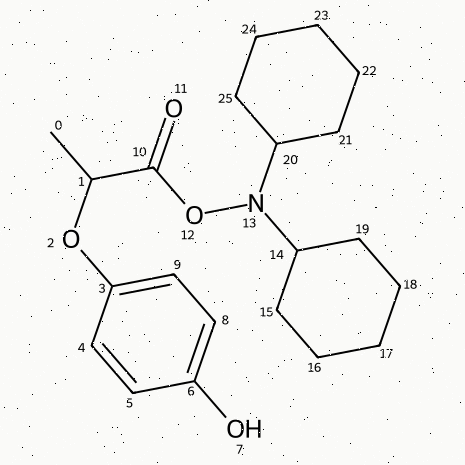 CC(Oc1ccc(O)cc1)C(=O)ON(C1CCCCC1)C1CCCCC1